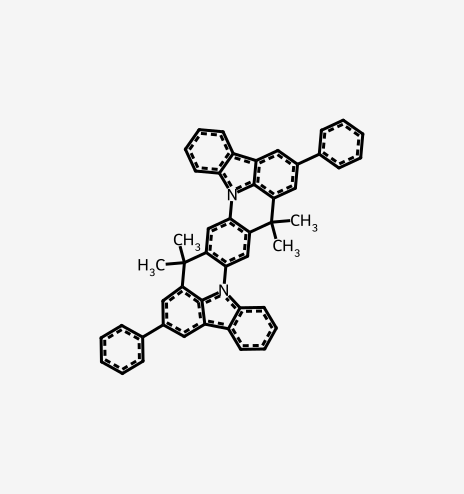 CC1(C)c2cc3c(cc2-n2c4ccccc4c4cc(-c5ccccc5)cc1c42)C(C)(C)c1cc(-c2ccccc2)cc2c4ccccc4n-3c12